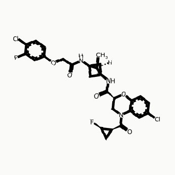 C[C@@H]1C2(NC(=O)COc3ccc(Cl)c(F)c3)CC1(NC(=O)[C@@H]1CN(C(=O)[C@H]3C[C@H]3F)c3cc(Cl)ccc3O1)C2